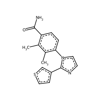 Cc1c(C(N)=O)ccc(-n2ccnc2-c2ccsc2)c1C